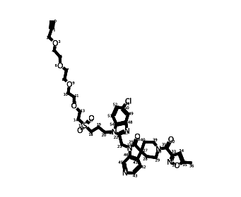 C#CCOCCOCCOCCOCCS(=O)(=O)CCCn1c(CN2C(=O)C3(CCN(C(=O)c4cc(C)on4)CC3)c3ccncc32)nc2cc(Cl)ccc21